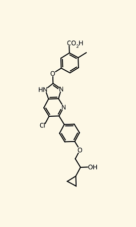 Cc1ccc(Oc2nc3nc(-c4ccc(OCC(O)C5CC5)cc4)c(Cl)cc3[nH]2)cc1C(=O)O